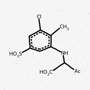 CC(=O)C(Nc1cc(S(=O)(=O)O)cc(Cl)c1C)C(=O)O